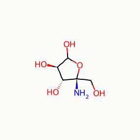 N[C@]1(CO)OC(O)[C@H](O)[C@H]1O